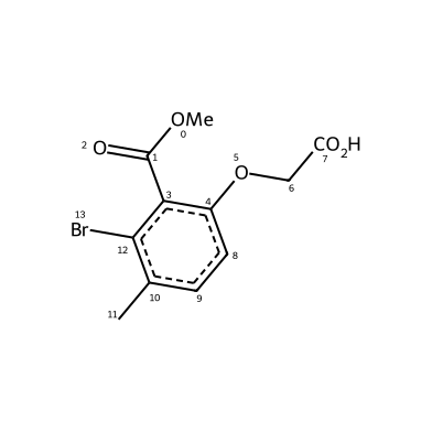 COC(=O)c1c(OCC(=O)O)ccc(C)c1Br